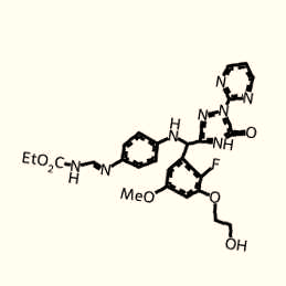 CCOC(=O)NC=Nc1ccc(NC(c2nn(-c3ncccn3)c(=O)[nH]2)c2cc(OC)cc(OCCO)c2F)cc1